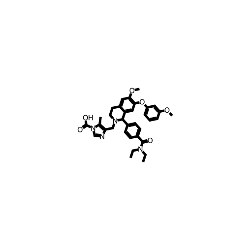 CCN(CC)C(=O)c1ccc(C2c3cc(Oc4cccc(OC)c4)c(OC)cc3CCN2Cc2ncn(C(=O)O)c2C)cc1